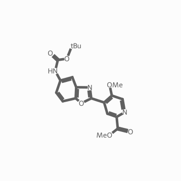 COC(=O)c1cc(-c2nc3cc(NC(=O)OC(C)(C)C)ccc3o2)c(OC)cn1